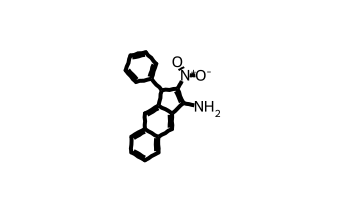 NC1=C([N+](=O)[O-])C(c2ccccc2)c2cc3ccccc3cc21